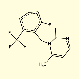 CC1=CC=NC(I)N1Cc1c(F)cccc1C(F)(F)F